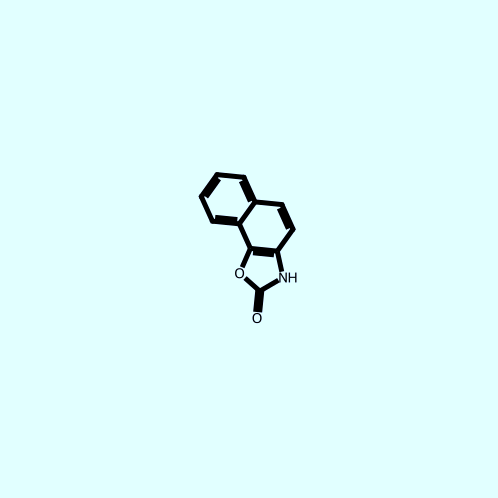 O=c1[nH]c2ccc3ccccc3c2o1